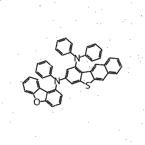 c1ccc(N(c2cc(N(c3ccccc3)c3ccccc3)c3c(c2)sc2cc4ccccc4cc23)c2cccc3oc4ccccc4c23)cc1